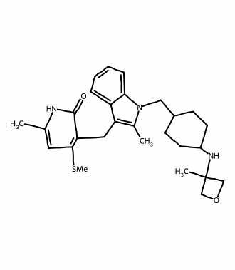 CSc1cc(C)[nH]c(=O)c1Cc1c(C)n(CC2CCC(NC3(C)COC3)CC2)c2ccccc12